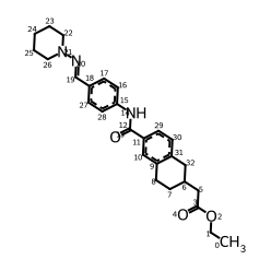 CCOC(=O)CC1CCc2cc(C(=O)Nc3ccc(/C=N/N4CCCCC4)cc3)ccc2C1